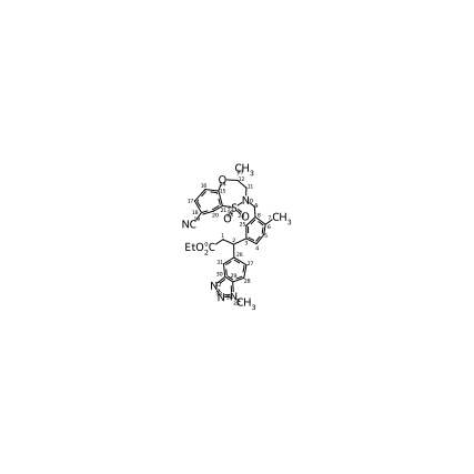 CCOC(=O)CC(c1ccc(C)c(CN2C[C@@H](C)Oc3ccc(C#N)cc3S2(=O)=O)c1)c1ccc2c(c1)nnn2C